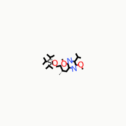 COC1=NC(C(C)C)C(OC)=NC1C[C@H](C)CCO[Si](C(C)C)(C(C)C)C(C)C